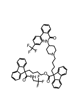 O=C(NC1CCN(CCCCC2(C(=O)OCCCCC3(C(=O)NCC(F)(F)F)c4ccccc4-c4ccccc43)c3ccccc3-c3ccccc32)CC1)c1ccccc1-c1ccc(C(F)(F)F)cc1